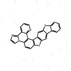 c1ccc2c(c1)sc1cc3c(cc12)sc1ccc2c(c4ncccc4c4nccn24)c13